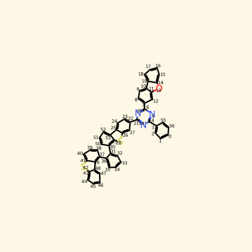 c1ccc(-c2nc(-c3ccc4c(c3)oc3ccccc34)nc(-c3ccc4c(c3)sc3c(-c5ccccc5-c5cccc6sc7ccccc7c56)cccc34)n2)cc1